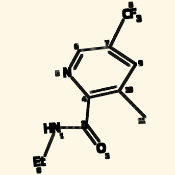 CCNC(=O)c1ncc(C(F)(F)F)cc1C